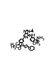 Cc1ccc(Nc2nc(-c3ccc4c(c3)N(C3CC(N5CCCCC5)C3)C(=O)C4(C)C)cc3ncn(C4CC4)c23)cc1C(N)=O